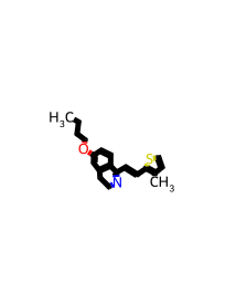 CCCCOc1ccc2c(c1)CCN=C2/C=C/c1sccc1C